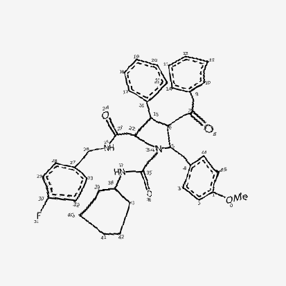 COc1ccc(C2C(C(=O)c3ccccc3)C(c3ccccc3)C(C(=O)NCc3ccc(F)cc3)N2C(=O)NC2CCCCC2)cc1